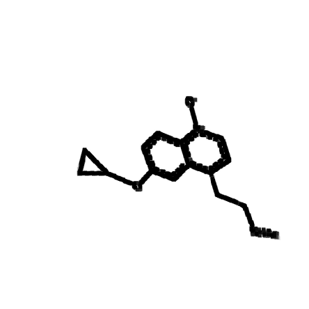 CC(=O)NCCc1cc[n+]([O-])c2ccc(OC3CC3)cc12